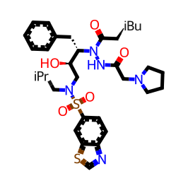 CC[C@H](C)CC(=O)N(NC(=O)CN1CCCC1)[C@@H](Cc1ccccc1)[C@H](O)CN(CC(C)C)S(=O)(=O)c1ccc2ncsc2c1